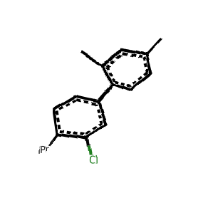 Cc1ccc(-c2ccc(C(C)C)c(Cl)c2)c(C)c1